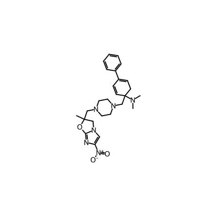 CN(C)C1(CN2CCN(CC3(C)Cn4cc([N+](=O)[O-])nc4O3)CC2)C=CC(c2ccccc2)=CC1